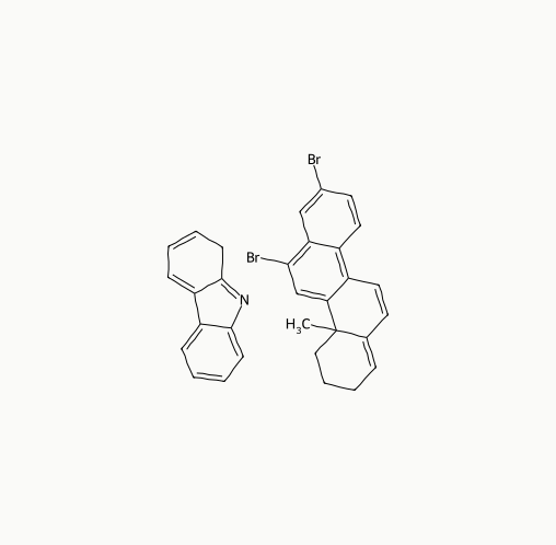 C1=CCC2=Nc3ccccc3C2=C1.CC12CCCC=C1C=Cc1c2cc(Br)c2cc(Br)ccc12